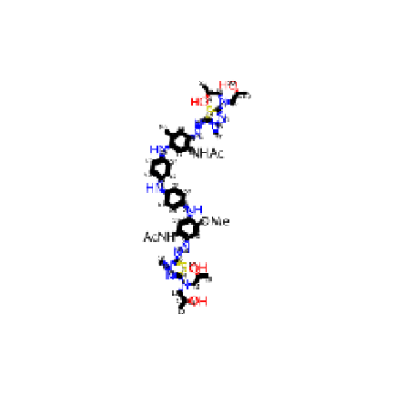 COc1cc(N=Nc2sc(N(CC(C)O)CC(C)O)n[n+]2C)c(NC(C)=O)cc1Nc1ccc(Nc2ccc(Nc3cc(NC(C)=O)c(N=Nc4sc(N(CC(C)O)CC(C)O)n[n+]4C)cc3C)cc2)cc1